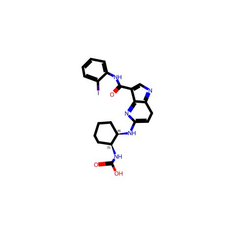 O=C(O)N[C@H]1CCCC[C@H]1NC1=CCC2=NC=C(C(=O)Nc3ccccc3I)C2=N1